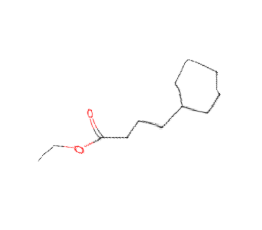 CCOC(=O)CCCC1CCCCC1